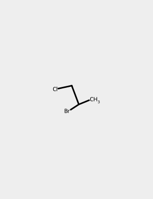 CC(Br)CCl